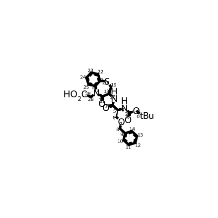 CC(C)(C)OC(=O)N[C@@H](COCc1ccccc1)C(=O)NC1CSc2ccccc2N(CC(=O)O)C1=O